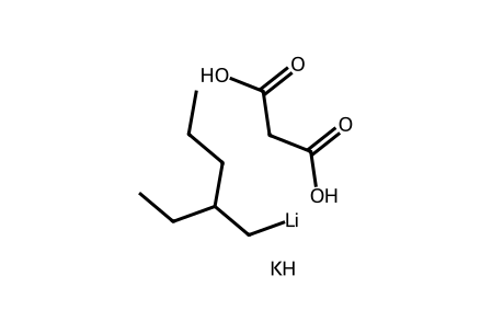 O=C(O)CC(=O)O.[KH].[Li][CH2]C(CC)CCC